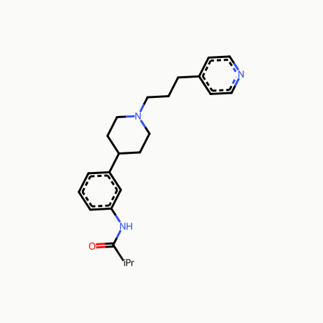 CC(C)C(=O)Nc1cccc(C2CCN(CCCc3ccncc3)CC2)c1